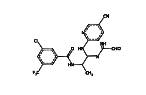 CC(NC(=O)c1cc(Cl)cc(C(F)(F)F)c1)/C(=N/C(=N)C=O)Nc1ccc(C#N)cn1